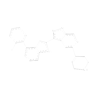 Fc1ccccc1-c1cccc2[nH]c(-c3n[nH]c4cnc(C5=CCNCC5)cc34)cc12